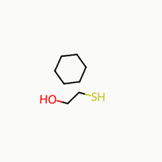 C1CCCCC1.OCCS